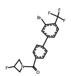 O=C(c1ccc(-c2ccc(C(F)(F)F)c(Br)c2)cc1)N1CC(F)C1